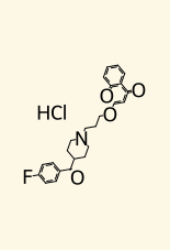 Cl.O=C(c1ccc(F)cc1)C1CCN(CCCOc2cc(=O)c3ccccc3o2)CC1